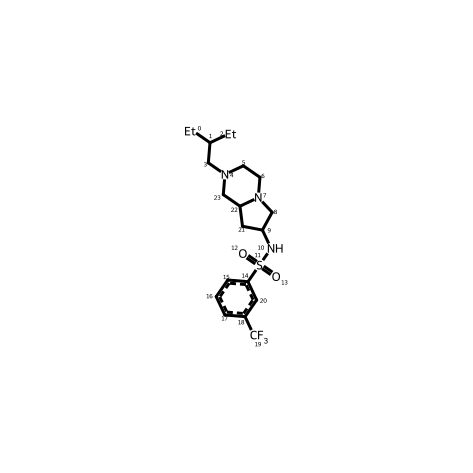 CCC(CC)CN1CCN2CC(NS(=O)(=O)c3cccc(C(F)(F)F)c3)CC2C1